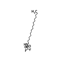 CCCCCCCCCCCCCCCCCCNS(=O)(=O)C(F)F